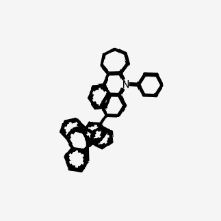 c1ccc(C2CCCCCC2N(C2CCCCC2)C2CCC(c3ccc4c(c3)-c3c5cccc3-c3cccc-4c3-c3ccccc3-5)CC2)cc1